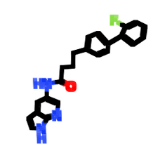 O=C(CCCc1ccc(-c2ccccc2F)cc1)Nc1cnc2[nH]ccc2c1